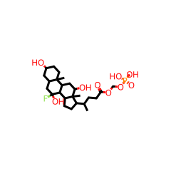 CC(CCC(=O)OCOP(=O)(O)O)C1CCC2C3C(CC(O)C12C)C1(C)CCC(O)CC1CC3(O)F